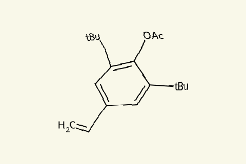 C=Cc1cc(C(C)(C)C)c(OC(C)=O)c(C(C)(C)C)c1